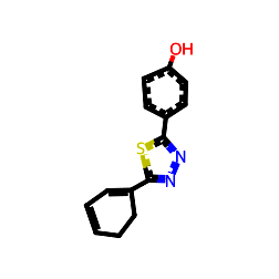 Oc1ccc(-c2nnc(C3=CC=CCC3)s2)cc1